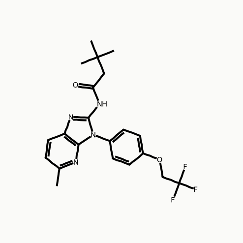 Cc1ccc2nc(NC(=O)CC(C)(C)C)n(-c3ccc(OCC(F)(F)F)cc3)c2n1